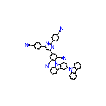 N#Cc1ccc(-c2cc(-c3cc(C#N)c(-n4c5ccccc5c5cc(-n6c7ccccc7c7ccccc76)ccc54)c(C#N)c3)nc(-c3ccc(C#N)cc3)n2)cc1